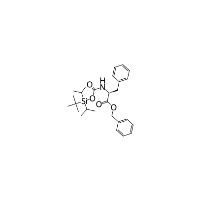 CC(C)[Si](OC(=O)N[C@@H](Cc1ccccc1)C(=O)OCc1ccccc1)(C(C)C)C(C)(C)C